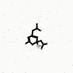 CC1=CC(CC(C)C)=CC(O)(CC(C)C)C1